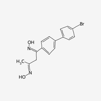 C/C(C/C(=N/O)c1ccc(-c2ccc(Br)cc2)cc1)=N\O